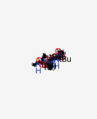 C=CCNC(=O)C(=O)C(CC1CC1)NC(=O)[C@@H]1[C@@H]2[C@H](CN1C(=O)[C@@H](NC(=O)N[C@H](CN1C(=O)CCC1=O)C(C)(C)C)C(C)(C)C)C2(C)C